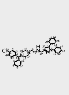 Clc1ccc(C(c2ccccc2)N2CCN(CCNCc3cc(-c4ccccc4)n(-c4ccccc4)n3)CC2)cc1